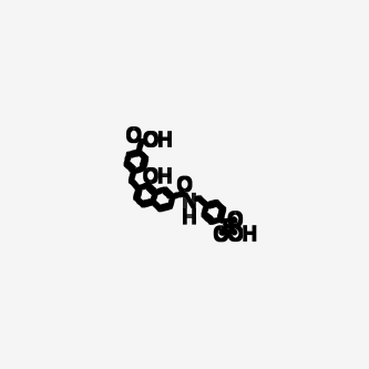 O=C(O)c1ccc(Cc2ccc3ccc(C(=O)NCc4ccc(S(=O)(=O)O)cc4)cc3c2O)cc1